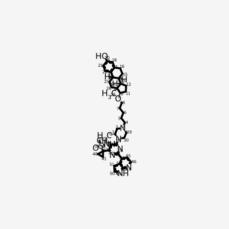 C[C@@H]1CN(CCCCCO[C@H]2CC[C@H]3[C@@H]4CCc5cc(O)ccc5[C@H]4CC[C@]23C)CCN1c1cc(C2(S(C)(=N)=O)CC2)nc(-c2ccnc3[nH]ccc23)n1